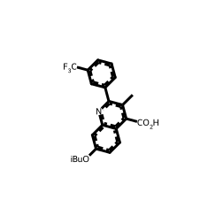 Cc1c(-c2cccc(C(F)(F)F)c2)nc2cc(OCC(C)C)ccc2c1C(=O)O